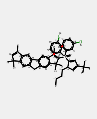 [CH2]=[Zr]([C]1=CC(C(C)(C)C)=CC1CCCC)([C]1=C(C)c2cc3c(cc2C1(C)C)Cc1cc2c(cc1-3)C(C)=CC2(C)C)([c]1cccc(Cl)c1)[c]1cccc(Cl)c1